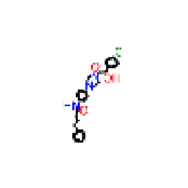 O=C(CCCc1ccccc1)Nc1ccc(N2CCN(C(=O)C(O)c3ccc(Cl)cc3)CC2)cc1